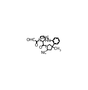 CC1(c2ccccc2NC=O)CC(C#N)N(C(=O)C2CCCN2C(=O)C=O)C1